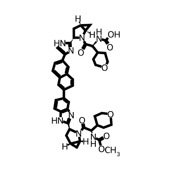 COC(=O)N[C@H](C(=O)N1[C@@H]2C[C@@H]2C[C@H]1c1nc2cc(-c3ccc4cc(-c5c[nH]c([C@@H]6C[C@H]7C[C@H]7N6C(=O)[C@@H](NC(=O)O)C6CCOCC6)n5)ccc4c3)ccc2[nH]1)C1CCOCC1